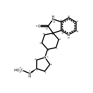 O=C(O)N[C@@H]1CCN(C2CCC3(CC2)C(=O)Nc2cccnc23)C1